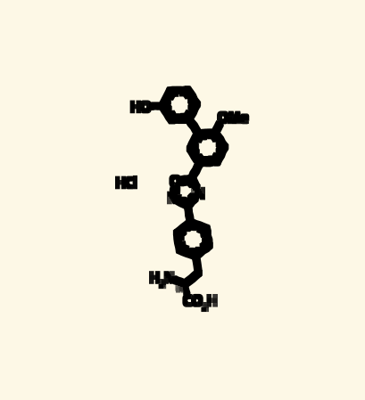 COc1ccc(-c2nc(-c3ccc(C[C@H](N)C(=O)O)cc3)no2)cc1-c1cccc(O)c1.Cl